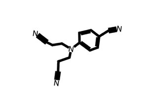 N#CCCN(CCC#N)c1ccc(C#N)cc1